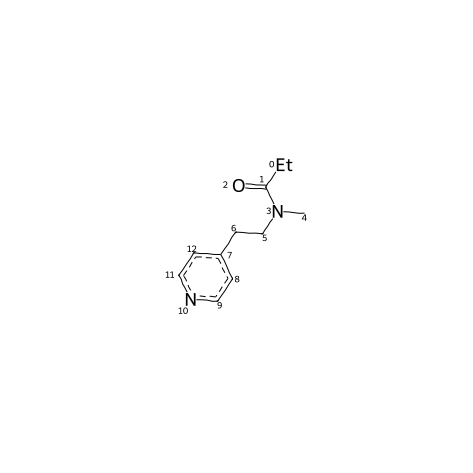 CCC(=O)N(C)CCc1ccncc1